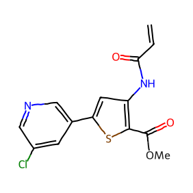 C=CC(=O)Nc1cc(-c2cncc(Cl)c2)sc1C(=O)OC